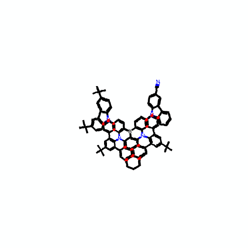 CC(C)(C)c1cc(-c2ccccc2)c(N2c3cc(-n4c5ccccc5c5cc(C#N)ccc54)ccc3B3c4ccc(-n5c6ccc(C(C)(C)C)cc6c6cc(C(C)(C)C)ccc65)cc4N(c4c(-c5ccccc5)cc(C(C)(C)C)cc4-c4ccccc4)c4cc(C5CCCCC5)cc2c43)c(-c2ccccc2)c1